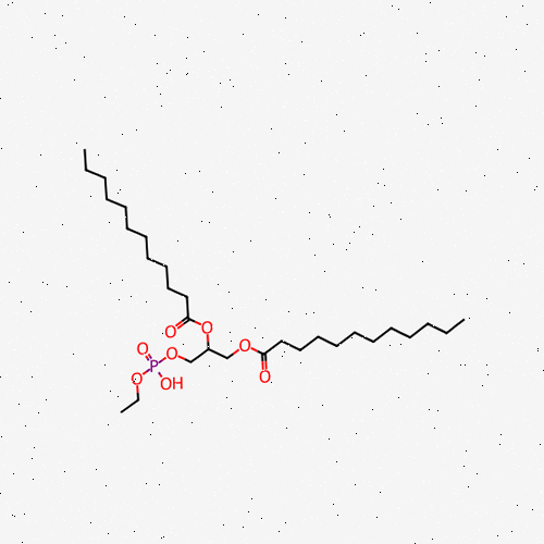 CCCCCCCCCCCC(=O)OCC(COP(=O)(O)OCC)OC(=O)CCCCCCCCCCC